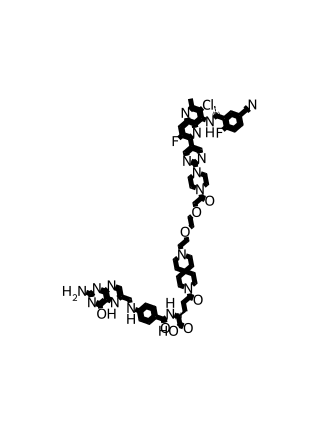 Cc1nc2cc(F)c(-c3cnc(N4CCN(C(=O)COCCOCCN5CCC6(CC5)CCN(C(=O)CC[C@H](NC(=O)c5ccc(NCc7cnc8nc(N)nc(O)c8n7)cc5)C(=O)O)CC6)CC4)nc3)nc2c(N[C@H](C)c2cc(C#N)ccc2F)c1Cl